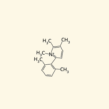 Cc1cccc(C)c1-c1ccc(C)c(C)[n+]1C